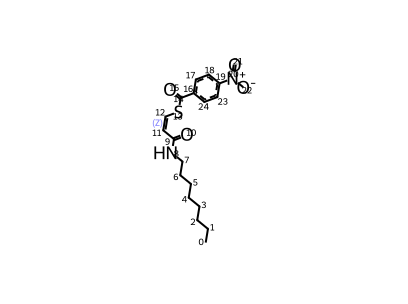 CCCCCCCCNC(=O)/C=C\SC(=O)c1ccc([N+](=O)[O-])cc1